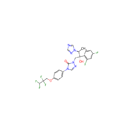 CC(n1cncn1)[C@](O)(Cn1ncn(-c2ccc(OCC(F)(F)C(F)F)cc2)c1=O)c1ccc(F)cc1F